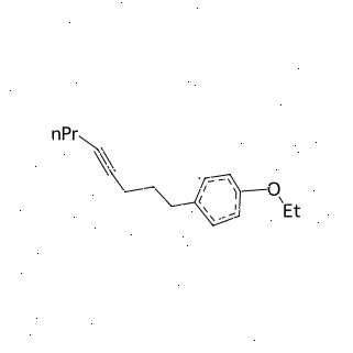 CCCC#CCCCc1[c]cc(OCC)cc1